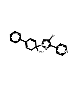 COC1(n2cc(Br)c(-c3ccncc3)n2)C=CC(c2ccccc2)=CC1